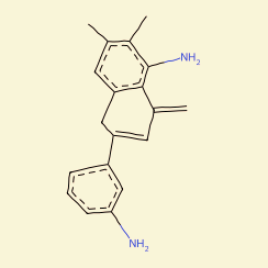 C=C1C=C(c2cccc(N)c2)Cc2cc(C)c(C)c(N)c21